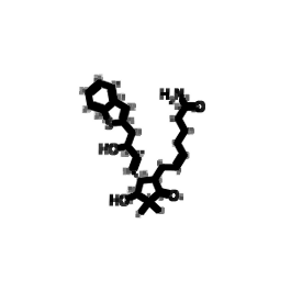 CC1(C)C(=O)C(C/C=C\CCCC(N)=O)[C@@H](/C=C/C(O)Cc2cc3ccccc3s2)C1O